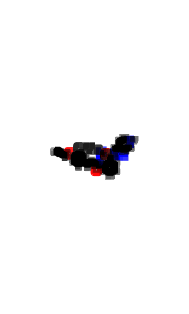 C#CCOc1ccc(C=CC(=O)Nc2ccccc2C(=O)NCC2CCN(C)CC2)cc1OC